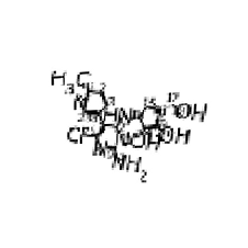 Cc1ccc(-c2c(Cl)nc(N)nc2N[C@@H]2C[C@H](CO)[C@@H](O)[C@H]2O)cn1